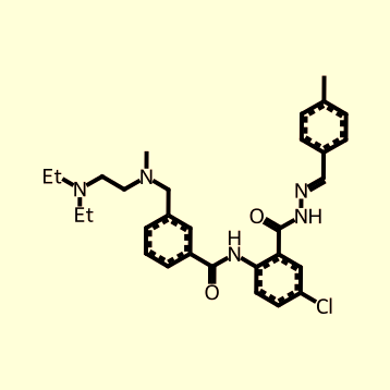 CCN(CC)CCN(C)Cc1cccc(C(=O)Nc2ccc(Cl)cc2C(=O)NN=Cc2ccc(C)cc2)c1